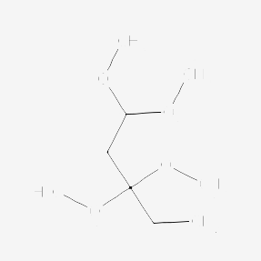 [CH2]CC(CC(OC)OC)(OC)OC